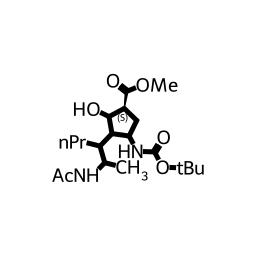 CCCC(C(C)NC(C)=O)C1C(NC(=O)OC(C)(C)C)C[C@H](C(=O)OC)C1O